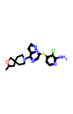 CC1CC2(CCN(c3ncc(Sc4ccnc(N)c4Cl)n4nccc34)CC2)CO1